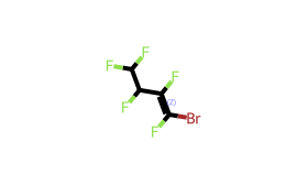 F/C(Br)=C(/F)C(F)C(F)F